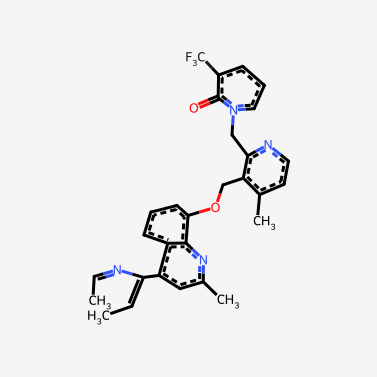 C/C=N\C(=C/C)c1cc(C)nc2c(OCc3c(C)ccnc3Cn3cccc(C(F)(F)F)c3=O)cccc12